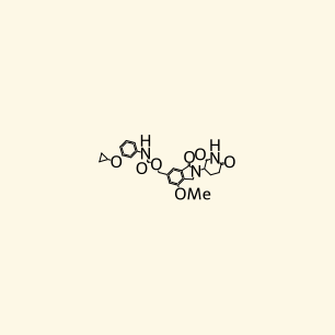 COc1cc(COC(=O)Nc2cccc(OC3CC3)c2)cc2c1CN(C1CCC(=O)NC1=O)C2=O